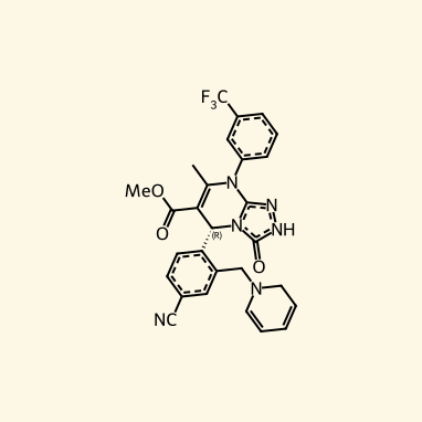 COC(=O)C1=C(C)N(c2cccc(C(F)(F)F)c2)c2n[nH]c(=O)n2[C@@H]1c1ccc(C#N)cc1CN1C=CC=CC1